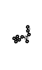 c1ccc(-c2nc(-c3cccc(-c4ccc5c(c4)sc4ccccc45)c3)nc(-c3cccc(-c4cccc5c4-c4ccccc4C54c5ccccc5-c5ccccc54)c3)n2)cc1